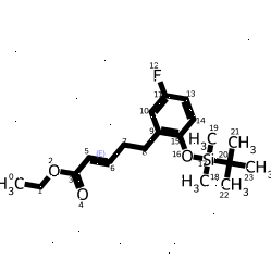 CCOC(=O)/C=C/CCc1cc(F)ccc1O[Si](C)(C)C(C)(C)C